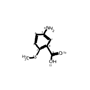 CSc1ccc(N)cc1C(=O)O